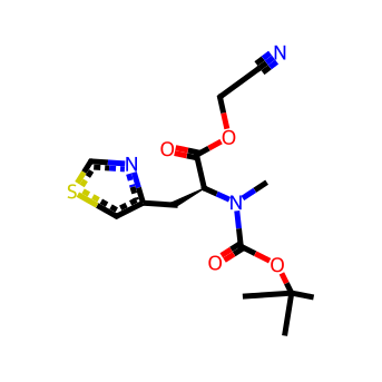 CN(C(=O)OC(C)(C)C)[C@@H](Cc1cscn1)C(=O)OCC#N